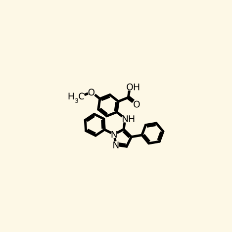 COc1ccc(Nc2c(-c3ccccc3)cnn2-c2ccccc2)c(C(=O)O)c1